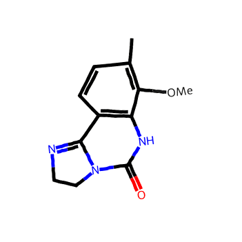 COc1c(C)ccc2c1NC(=O)N1CCN=C21